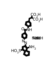 Nc1c(/N=N/c2ccc(C(=O)Nc3ccc(CC(C(=O)O)C(=O)O)cc3)cc2)cc(S(=O)(=O)O)c2ccccc12.[NaH].[NaH].[NaH]